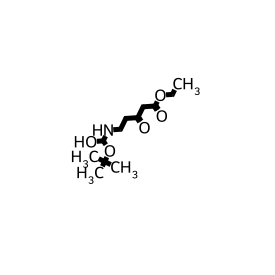 CCOC(=O)CC(=O)CCNC(O)OC(C)(C)C